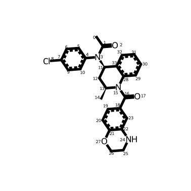 CC(=O)N(c1ccc(Cl)cc1)[C@@H]1C[C@H](C)N(C(=O)c2ccc3c(c2)NCCO3)c2ccccc21